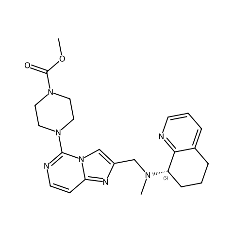 COC(=O)N1CCN(c2nccc3nc(CN(C)[C@H]4CCCc5cccnc54)cn23)CC1